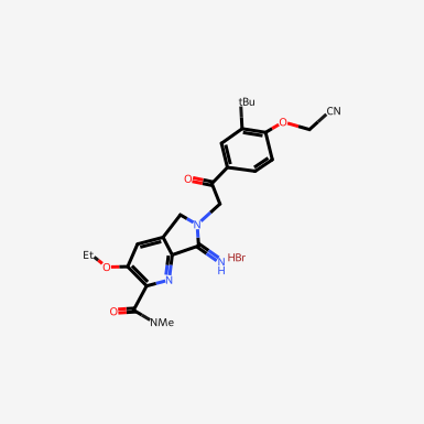 Br.CCOc1cc2c(nc1C(=O)NC)C(=N)N(CC(=O)c1ccc(OCC#N)c(C(C)(C)C)c1)C2